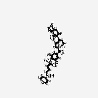 Cc1cc2c(ncn2C)c(Cl)c1-c1cccn2c(C(=O)c3cc(F)c(NC(=O)/C=C/CNC4CCOCC4)c(F)c3)ccc12